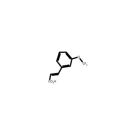 O=C(O)C=Cc1cccc(OC(F)(F)F)c1